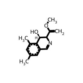 C=C(OC)C1N=Cc2cc(C)cc(C)c2[C@H]1O